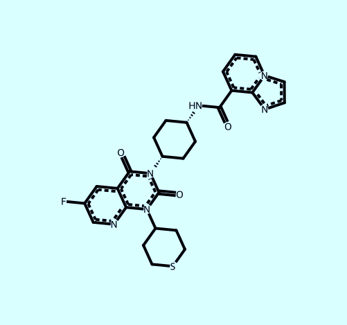 O=C(N[C@H]1CC[C@@H](n2c(=O)c3cc(F)cnc3n(C3CCSCC3)c2=O)CC1)c1cccn2ccnc12